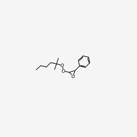 CCCCC(C)(C)OOC1OC1c1ccccc1